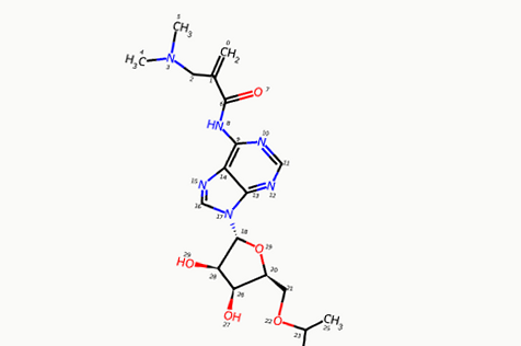 C=C(CN(C)C)C(=O)Nc1ncnc2c1ncn2[C@@H]1O[C@@H](COC(C)C)[C@@H](O)[C@H]1O